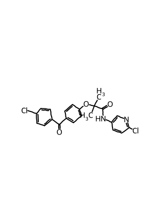 CC(C)(Oc1ccc(C(=O)c2ccc(Cl)cc2)cc1)C(=O)Nc1ccc(Cl)nc1